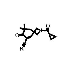 CC1(C)CC2(C=C(C#N)C1=O)CN(C(=O)C1CC1)C2